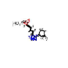 O=S(=O)(O)OCCCCc1nnnn1C1CCCCC1